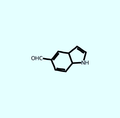 O=CC1=CC2C=CNC2C=C1